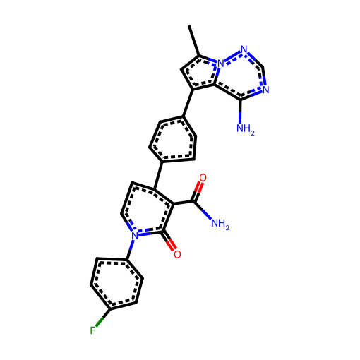 Cc1cc(-c2ccc(-c3ccn(-c4ccc(F)cc4)c(=O)c3C(N)=O)cc2)c2c(N)ncnn12